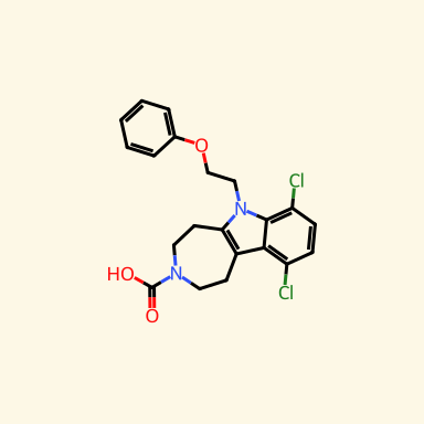 O=C(O)N1CCc2c(n(CCOc3ccccc3)c3c(Cl)ccc(Cl)c23)CC1